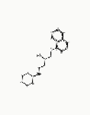 OC(CCNC1CCCCC1)COc1cccc2ccccc12